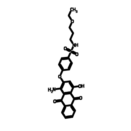 CCOCCCNS(=O)(=O)c1ccc(Oc2cc(O)c3c(c2N)C(=O)c2ccccc2C3=O)cc1